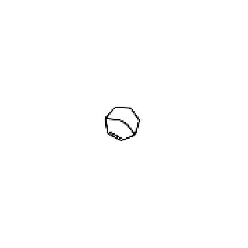 [CH]1CCC2C=CC1CC2